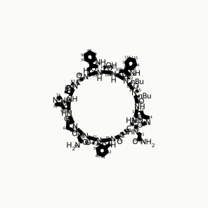 CCCC[C@H]1C(=O)N(C)[C@@H](CCCC)C(=O)N[C@@H](Cc2cnc[nH]2)C(=O)N[C@H](C(=O)NCC(N)=O)CSCC(=O)N[C@@H](Cc2ccccc2)C(=O)N(C)[C@@H](C)C(=O)N[C@@H](CC(N)=O)C(=O)N2CCC[C@H]2C(=O)N[C@@H](Cc2cnc[nH]2)C(=O)N[C@@H](CC(C)C)C(=O)N(C)CC(=O)N[C@@H](Cc2c[nH]c3ccccc23)C(=O)N[C@@H](CO)C(=O)N[C@@H](Cc2c[nH]c3ccccc23)C(=O)N1C